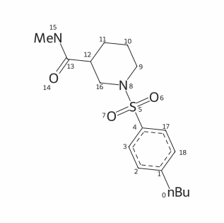 CCCCc1ccc(S(=O)(=O)N2CCCC(C(=O)NC)C2)cc1